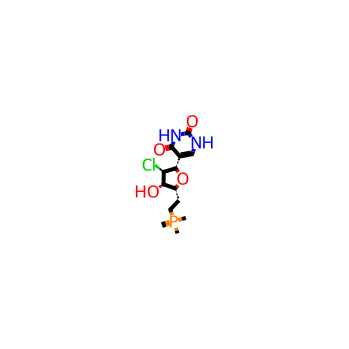 C=P(C)(C)CC[C@H]1O[C@@H](c2c[nH]c(=O)[nH]c2=O)[C@H](Cl)[C@@H]1O